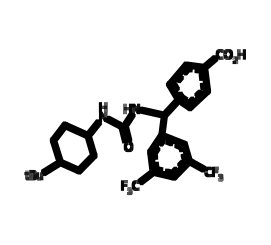 CC(C)(C)C1CCC(NC(=O)NC(c2ccc(C(=O)O)cc2)c2cc(C(F)(F)F)cc(C(F)(F)F)c2)CC1